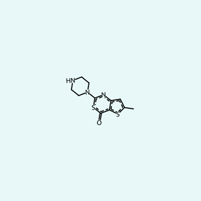 Cc1cc2nc(N3CCNCC3)sc(=O)c2s1